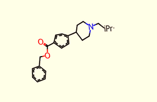 C[C](C)CN1CCC(c2ccc(C(=O)OCc3ccccc3)cc2)CC1